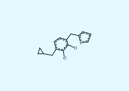 Clc1c(CC2CC2)[c]cc(Cc2cccs2)c1Cl